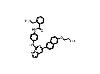 NCc1ccccc1C(=O)Nc1ccc(Nc2nc(-c3ccc4cc(OCCO)ccc4c3)cc3ccnn23)cc1